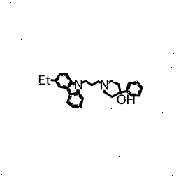 CCc1ccc2c(c1)c1ccccc1n2CCCN1CCC(O)(c2ccccc2)CC1